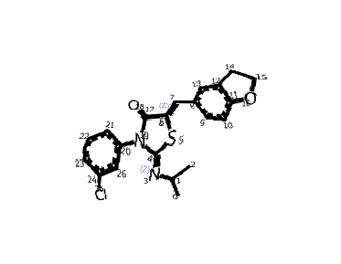 CC(C)/N=C1\S/C(=C\c2ccc3c(c2)CCO3)C(=O)N1c1cccc(Cl)c1